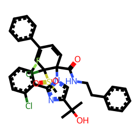 CC(C)(O)c1cn(C2(C(=O)NCCc3ccccc3)C=CC(c3ccccc3)=CC2(Cl)S(C)(=O)=O)c(-c2c(F)cccc2Cl)n1